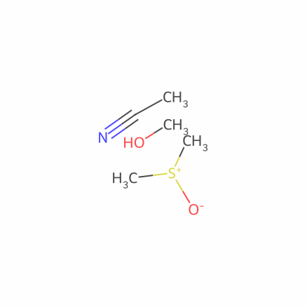 CC#N.CO.C[S+](C)[O-]